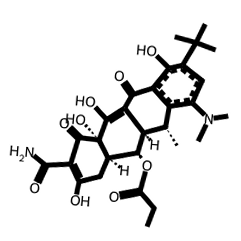 CCC(=O)O[C@H]1[C@H]2C(=C(O)[C@]3(O)C(=O)C(C(N)=O)=C(O)C[C@H]13)C(=O)c1c(O)c(C(C)(C)C)cc(N(C)C)c1[C@@H]2C